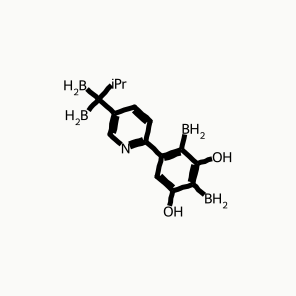 Bc1c(O)cc(-c2ccc(C(B)(B)C(C)C)cn2)c(B)c1O